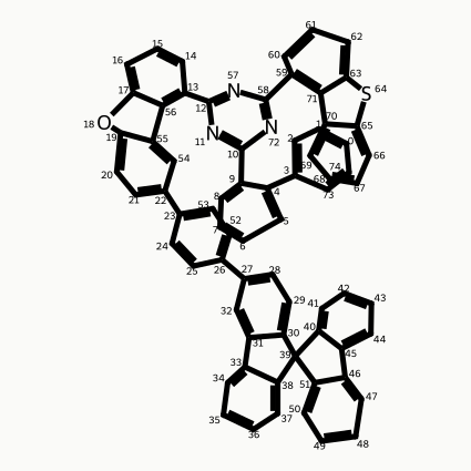 c1ccc(-c2ccccc2-c2nc(-c3cccc4oc5ccc(-c6ccc(-c7ccc8c(c7)-c7ccccc7C87c8ccccc8-c8ccccc87)cc6)cc5c34)nc(-c3cccc4sc5ccccc5c34)n2)cc1